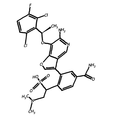 C[C@@H](Oc1c(N)ncc2c(-c3cc(C(N)=O)ccc3C(CN(C)C)S(=O)(=O)O)coc12)c1c(Cl)ccc(F)c1Cl